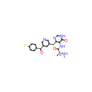 CN[C@@H](C)C(=O)Nc1c(Cc2cncc(C(=O)c3ccc(F)cc3)c2)nc[nH]c1=O